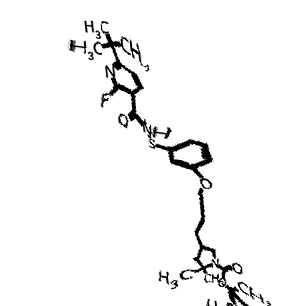 CC(C)(C)OC(=O)N1CC(CCCOc2cccc(SNC(=O)c3ccc(C(C)(C)C)nc3F)c2)CC1(C)C